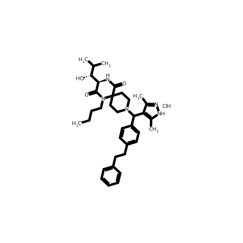 CCCCN1C(=O)[C@@H]([C@H](O)C(C)C)NC(=O)C12CCN(C(c1ccc(CCc3ccccc3)cc1)c1c(C)n[nH]c1C)CC2.Cl